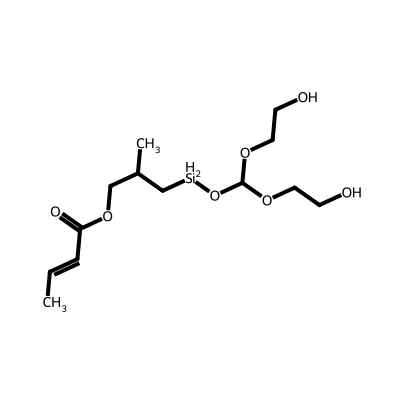 CC=CC(=O)OCC(C)C[SiH2]OC(OCCO)OCCO